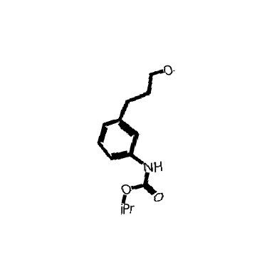 CC(C)OC(=O)Nc1cccc(CCC[O])c1